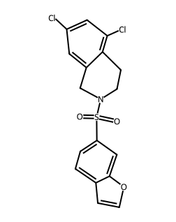 O=S(=O)(c1ccc2ccoc2c1)N1CCc2c(Cl)cc(Cl)cc2C1